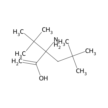 C=C(O)C(N)(CC(C)(C)C)C(C)(C)C